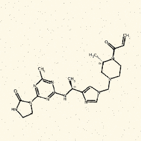 C=CC(=O)N1CCN(Cn2cnc([C@H](C)Nc3nc(C)nc(N4CCNC4=O)n3)c2)C[C@@H]1C